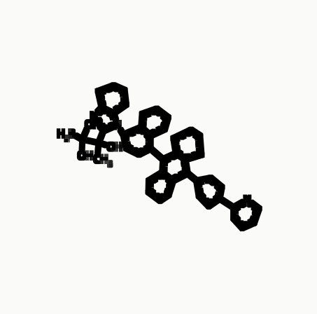 BC(O)(O)C(C)(O)c1nc2ccccc2n1-c1ccc(-c2c3ccccc3c(-c3ccc(-c4ccccn4)cc3)c3ccccc23)c2ccccc12